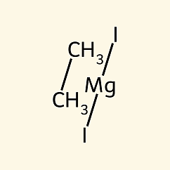 CC.[I][Mg][I]